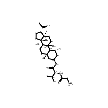 CC(=O)[C@H]1CC[C@H]2[C@@H]3CC[C@H]4C[C@H](OC(=O)[C@@H](NC(=O)CN)C(C)C)CC[C@]4(C)[C@H]3CC[C@]12C.Cl